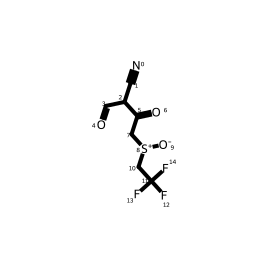 N#CC([C]=O)C(=O)C[S+]([O-])CC(F)(F)F